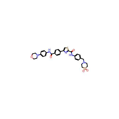 O=C(Nc1ccc(N2CCOCC2)cc1)c1ccc(-c2csc(C(=O)Nc3ccc(CN4CCS(=O)(=O)CC4)cc3)n2)cc1